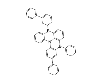 C1=CC(B2c3ccccc3N3c4ccc(C5=CCCC=C5)cc4B(C4=CCCC=C4)c4cccc2c43)CC(c2ccccc2)=C1